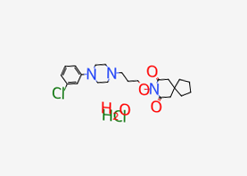 Cl.O.O=C1CC2(CCCC2)CC(=O)N1OCCCN1CCN(c2cccc(Cl)c2)CC1